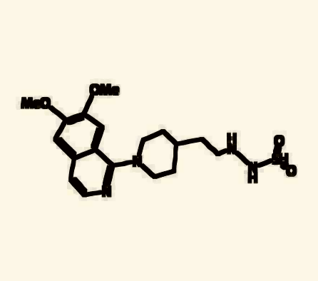 COc1cc2ccnc(N3CCC(CCNN[SH](=O)=O)CC3)c2cc1OC